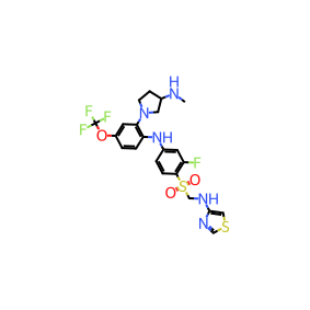 CNC1CCN(c2cc(OC(F)(F)F)ccc2Nc2ccc(S(=O)(=O)CNc3cscn3)c(F)c2)C1